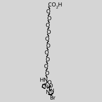 O=C(O)CCOCCOCCOCCOCCOCCOCCOCCOCCOCCOCCNC(=O)[C@@H]1CCCN1C(=O)c1ncc(Br)cn1